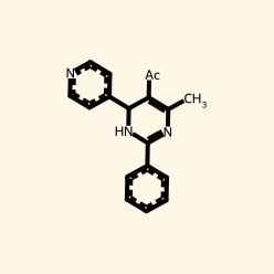 CC(=O)C1=C(C)N=C(c2ccccc2)NC1c1ccncc1